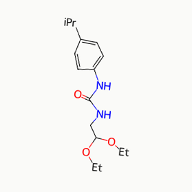 CCOC(CNC(=O)Nc1ccc(C(C)C)cc1)OCC